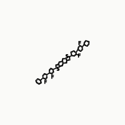 Fc1cc(-c2cc3cc4cc5sc(-c6ccc(-c7ccc(-c8ccccc8)c(F)c7)c(F)c6)cc5cc4cc3s2)ccc1-c1ccc(-c2ccccc2)c(F)c1